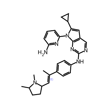 C/C(=C\C1CCC(C)N1C)c1ccc(Nc2ncc3cc(C4CC4)n(-c4cccc(N)n4)c3n2)cc1